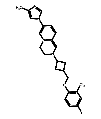 Cc1cn(C2=CN3CCN(C4CC(COc5ccc(F)cc5C(F)(F)F)C4)C=C3C=C2)cn1